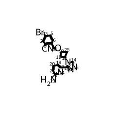 N#Cc1cc(Br)ccc1COC1CC(n2cnnc2-c2cccc(N)n2)C1